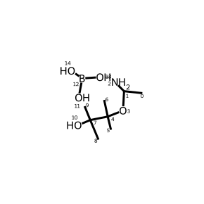 CC(N)OC(C)(C)C(C)(C)O.OB(O)O